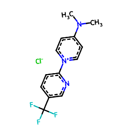 CN(C)c1cc[n+](-c2ccc(C(F)(F)F)cn2)cc1.[Cl-]